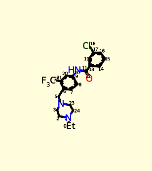 CCN1CCN(Cc2ccc(NC(=O)c3cccc(Cl)c3)cc2C(F)(F)F)CC1